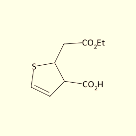 CCOC(=O)CC1SC=CC1C(=O)O